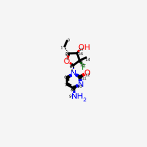 CC[C@H]1O[C@@H](n2ccc(N)nc2=O)C(C)(F)C1O